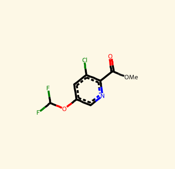 COC(=O)c1ncc(OC(F)F)cc1Cl